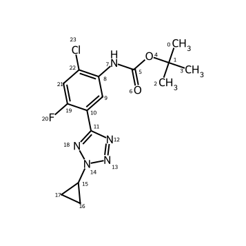 CC(C)(C)OC(=O)Nc1cc(-c2nnn(C3CC3)n2)c(F)cc1Cl